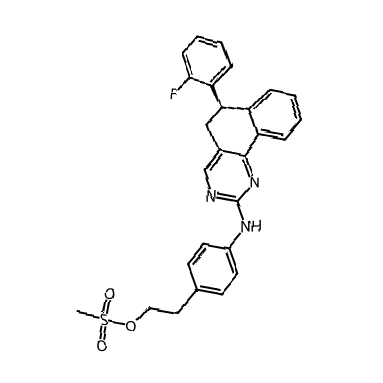 CS(=O)(=O)OCCc1ccc(Nc2ncc3c(n2)-c2ccccc2[C@H](c2ccccc2F)C3)cc1